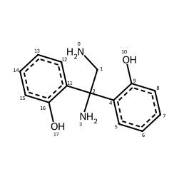 NCC(N)(c1ccccc1O)c1ccccc1O